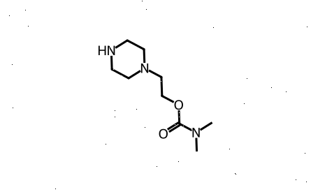 CN(C)C(=O)OCCN1CCNCC1